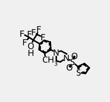 Cc1cc(C(O)(C(F)(F)F)C(F)(F)F)ccc1N1CCN(S(=O)(=O)c2cccs2)CC1